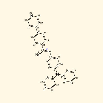 N#C/C(=C\c1ccc(N(c2ccccc2)c2ccccc2)cc1)c1ccc(-c2ccncc2)cc1